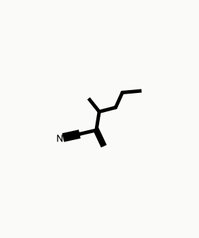 C=C(C#N)C(C)CCC